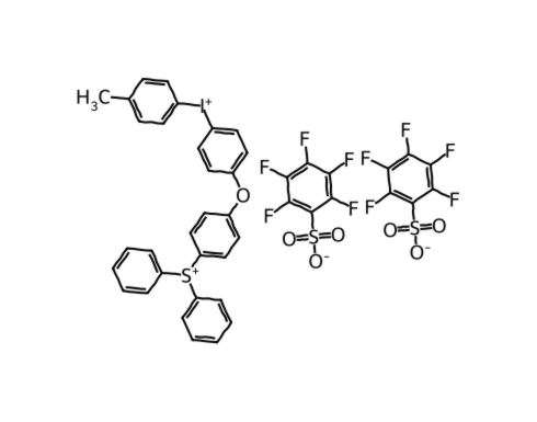 Cc1ccc([I+]c2ccc(Oc3ccc([S+](c4ccccc4)c4ccccc4)cc3)cc2)cc1.O=S(=O)([O-])c1c(F)c(F)c(F)c(F)c1F.O=S(=O)([O-])c1c(F)c(F)c(F)c(F)c1F